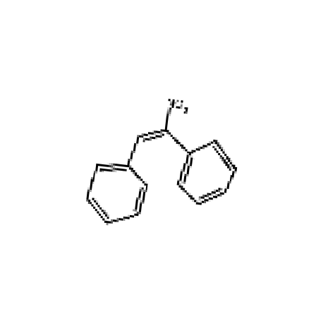 O=[N+]([O-])C(=Cc1ccccc1)c1ccccc1